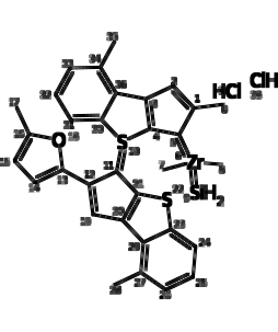 CC1=CC2=C([C]1=[Zr]([CH3])([CH3])=[SiH2])S(=C1C(c3ccc(C)o3)=Cc3c1sc1cccc(C)c31)c1cccc(C)c12.Cl.Cl